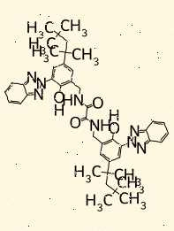 CC(C)(C)CC(C)(C)c1cc(CNC(=O)C(=O)NCc2cc(C(C)(C)CC(C)(C)C)cc(-n3nc4ccccc4n3)c2O)c(O)c(-n2nc3ccccc3n2)c1